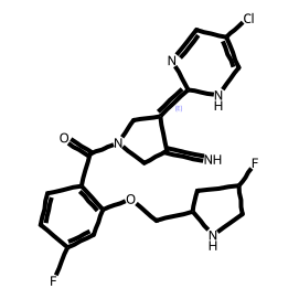 N=C1CN(C(=O)c2ccc(F)cc2OCC2CC(F)CN2)C/C1=C1\N=CC(Cl)=CN1